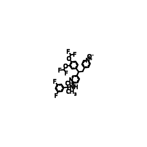 CC(C)(Nc1ccc(C(Cc2cc[n+]([O-])cc2)c2ccc(OC(F)F)c(OC(F)F)c2)cn1)c1cc(F)cc(F)c1